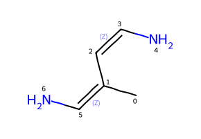 CC(/C=C\N)=C/N